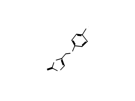 O=c1[nH]cc(CSc2ccc(O)cc2)[nH]1